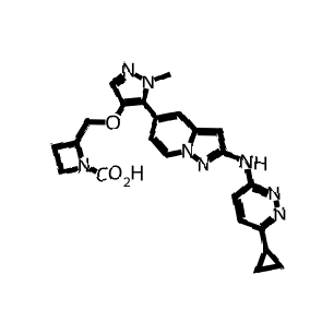 Cn1ncc(OCC2CCN2C(=O)O)c1-c1ccn2nc(Nc3ccc(C4CC4)nn3)cc2c1